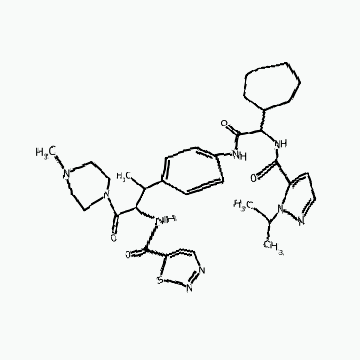 CC(c1ccc(NC(=O)C(NC(=O)c2ccnn2C(C)C)C2CCCCCC2)cc1)C(NC(=O)c1cnns1)C(=O)N1CCN(C)CC1